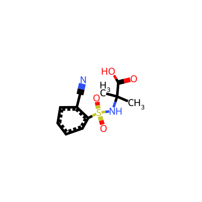 CC(C)(NS(=O)(=O)c1ccccc1C#N)C(=O)O